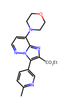 CCOC(=O)c1nc2c(N3CCOCC3)ccnn2c1-c1ccc(C)nc1